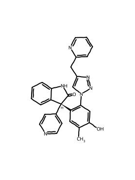 Cc1cc([C@]2(c3ccncc3)C(=O)Nc3ccccc32)c(-n2cc(Cc3ccccn3)nn2)cc1O